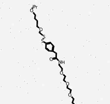 CNCCOCCOCCOCCNC(=O)Cc1ccc(SSCOCCCCOC(C)C)cc1